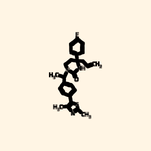 C=CCC1(c2ccc(F)cc2)CCN(C(C)c2ccc(-c3sc(C)nc3C)cc2)C(=O)N1